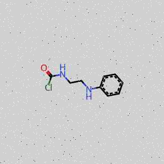 O=C(Cl)NCCNc1ccccc1